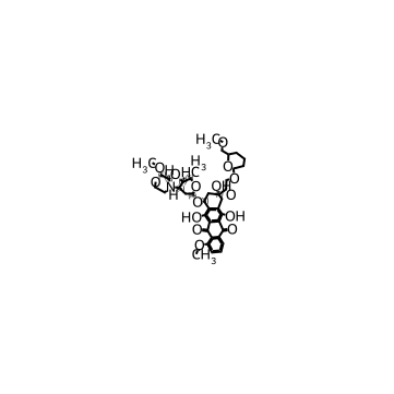 COCC1CCCC(OCC(=O)[C@]2(O)Cc3c(O)c4c(c(O)c3[C@@H](O[C@H]3C[C@H]5[C@H](O[C@@H]6[C@@H](OC)OCCN65)[C@H](C)O3)C2)C(=O)c2c(OC)cccc2C4=O)O1